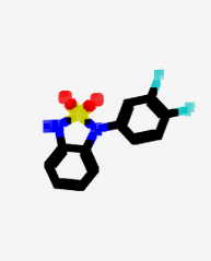 O=S1(=O)Nc2ccccc2N1c1ccc(F)c(F)c1